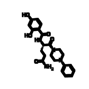 NC(=O)CC[C@H](NC(=O)c1ccc(O)cc1O)C(=O)N1CCN(c2ccccc2)CC1